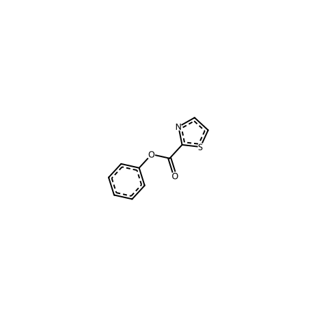 O=C(Oc1ccccc1)c1nccs1